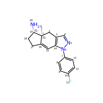 C[C@]12Cc3cnn(-c4ccc(F)cc4)c3C=C1CC[C@@H]2N